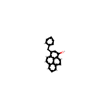 [O]c1cc(Cc2ccccc2)c2ccc3cccc4ccc1c2c43